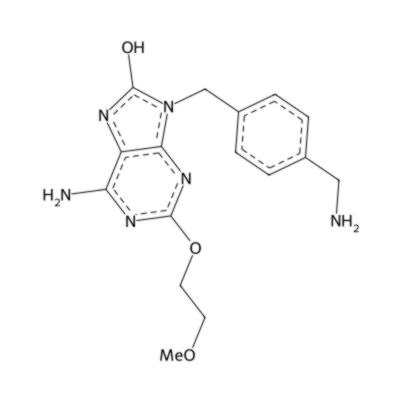 COCCOc1nc(N)c2nc(O)n(Cc3ccc(CN)cc3)c2n1